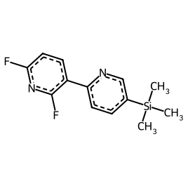 C[Si](C)(C)c1ccc(-c2ccc(F)nc2F)nc1